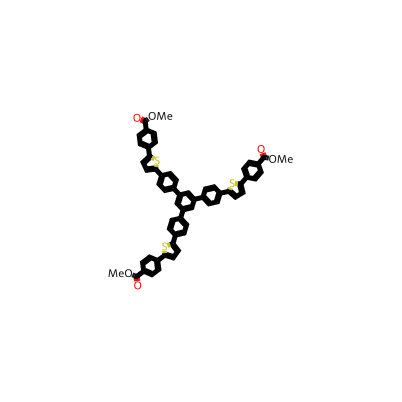 COC(=O)c1ccc(-c2ccc(-c3ccc(-c4cc(-c5ccc(-c6ccc(-c7ccc(C(=O)OC)cc7)s6)cc5)cc(-c5ccc(-c6ccc(-c7ccc(C(=O)OC)cc7)s6)cc5)c4)cc3)s2)cc1